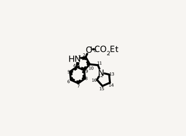 CCOC(=O)Oc1[nH]c2ccccc2c1CN1CCCC1